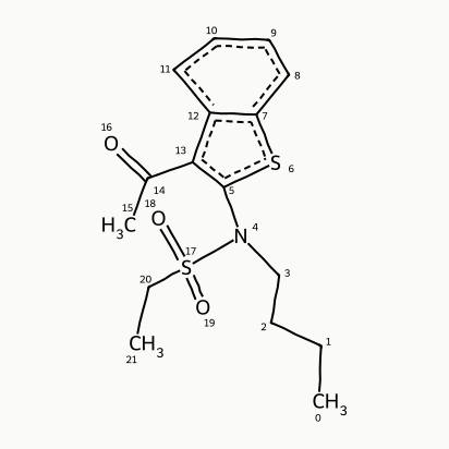 CCCCN(c1sc2ccccc2c1C(C)=O)S(=O)(=O)CC